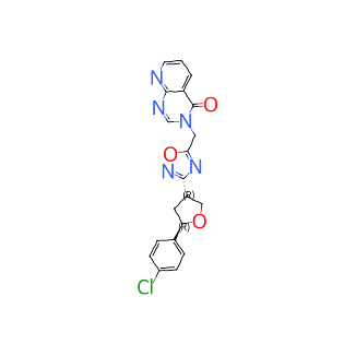 O=c1c2cccnc2ncn1Cc1nc([C@@H]2CO[C@@H](c3ccc(Cl)cc3)C2)no1